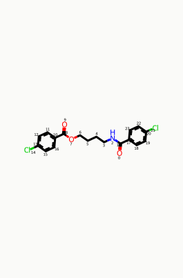 O=C(NCCCCOC(=O)c1ccc(Cl)cc1)c1ccc(Cl)cc1